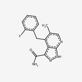 Cc1cnc2[nH]nc(C(N)=O)c2c1Cc1ccccc1F